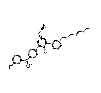 CCCC=CCCCc1cccc(-c2cn(CC#N)cc(-c3ccc([S+]([O-])c4cccc(F)c4)cc3)c2=O)c1